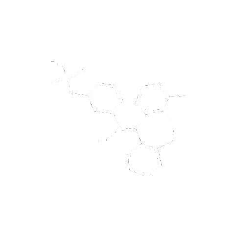 C/C(=C1\c2ccccc2COc2c(F)cccc21)c1cccc(NS(C)(=O)=O)c1